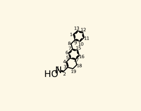 ON=CC1=Cc2cc(Cc3ccccc3)ccc2CC1